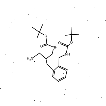 CC(C)(C)OC(=O)NCc1ccccc1CC(CN)CNC(=O)OC(C)(C)C